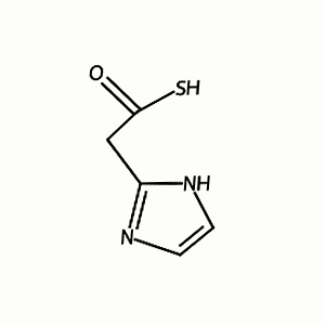 O=C(S)Cc1ncc[nH]1